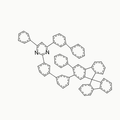 c1ccc(-c2cccc(-c3cc(-c4ccccc4)nc(-c4cccc(-c5cccc(-c6cc7c(cc6-c6ccccc6)-c6ccccc6C76c7ccccc7-c7ccccc76)c5)c4)n3)c2)cc1